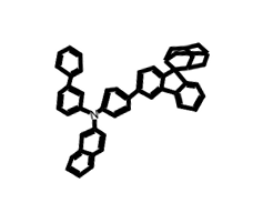 c1ccc(-c2cccc(N(c3ccc(-c4ccc5c(c4)-c4ccccc4C54C5CC6CC(C5)CC4C6)cc3)c3ccc4ccccc4c3)c2)cc1